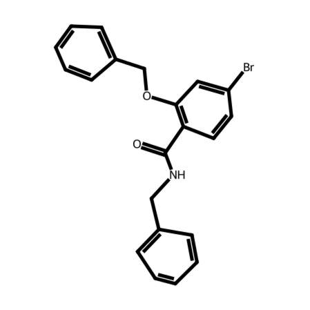 O=C(NCc1ccccc1)c1ccc(Br)cc1OCc1ccccc1